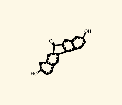 O=C1c2cc3cc(O)ccc3cc2-c2cc3ccc(O)cc3cc21